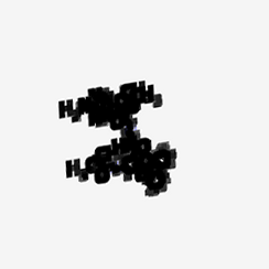 CN(C)C(=O)/C=C/c1cc2c(c(C(=O)NC/C=C/[C@H]3O[C@@H](n4cnc5c(N)ncnc54)[C@H]4OC(C)(C)OC34)c1)OC(c1ccccc1)(c1ccccc1)O2